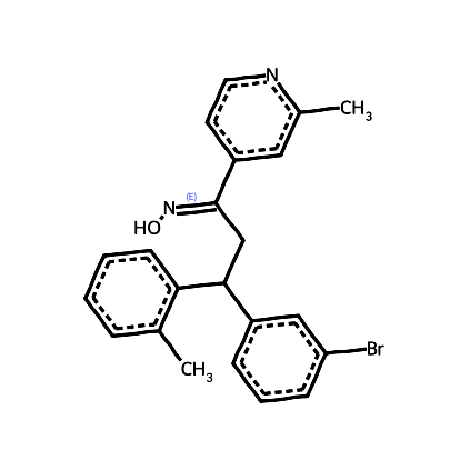 Cc1cc(/C(CC(c2cccc(Br)c2)c2ccccc2C)=N/O)ccn1